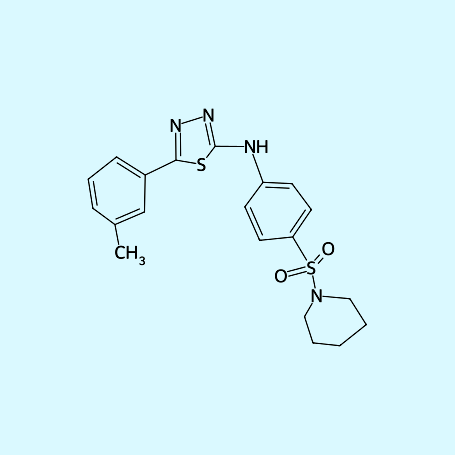 Cc1cccc(-c2nnc(Nc3ccc(S(=O)(=O)N4CCCCC4)cc3)s2)c1